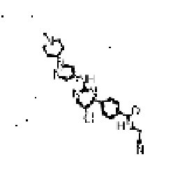 CN1CCC(n2cc(Nc3ncc(Cl)c(-c4ccc(C(=O)NCC#N)cc4)n3)cn2)CC1